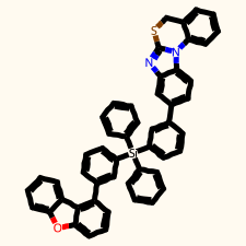 c1ccc([Si](c2ccccc2)(c2cccc(-c3ccc4c(c3)nc3n4-c4ccccc4CS3)c2)c2cccc(-c3cccc4oc5ccccc5c34)c2)cc1